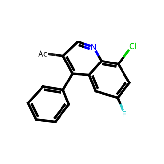 CC(=O)c1cnc2c(Cl)cc(F)cc2c1-c1ccccc1